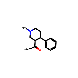 CCCN1CCC(c2ccccc2)C(C(=O)OC)C1